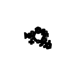 CCc1c2nc(nc1-c1c(C)cccc1C)NS(=O)(=O)c1cccc(c1)C(=O)N(C1CC3(CC3)C1)[C@H](CC(C)(C)C)CO2